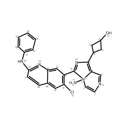 N[N+]12C=CN=CC1=C(C1CC(O)C1)N=C2c1cc2nc(Nc3ccccc3)ccc2cc1Cl